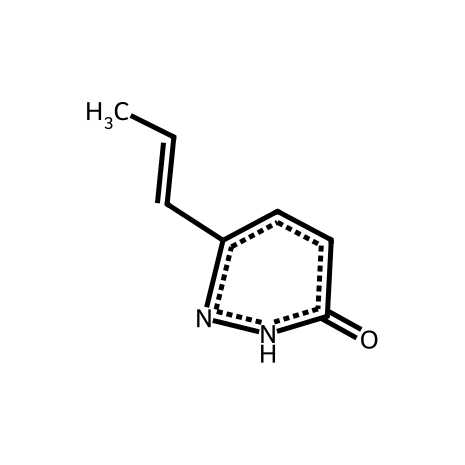 C/C=C/c1ccc(=O)[nH]n1